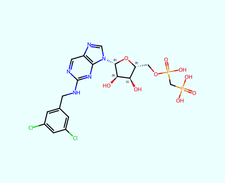 O=P(O)(O)CP(=O)(O)OC[C@H]1O[C@@H](n2cnc3cnc(NCc4cc(Cl)cc(Cl)c4)nc32)[C@H](O)[C@@H]1O